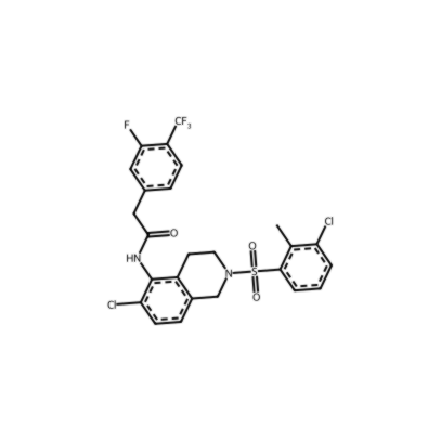 Cc1c(Cl)cccc1S(=O)(=O)N1CCc2c(ccc(Cl)c2NC(=O)Cc2ccc(C(F)(F)F)c(F)c2)C1